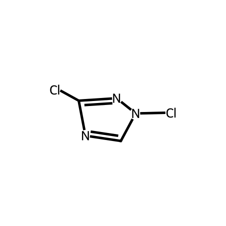 Clc1ncn(Cl)n1